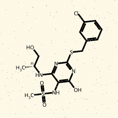 C[C@H](CO)Nc1nc(SCc2cccc(Cl)c2)nc(O)c1NS(C)(=O)=O